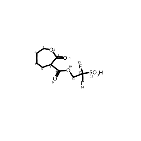 O=C1OCCCCC1C(=O)OCC(F)(F)S(=O)(=O)O